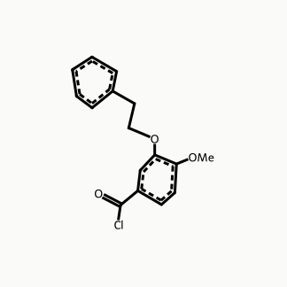 COc1ccc(C(=O)Cl)cc1OCCc1ccccc1